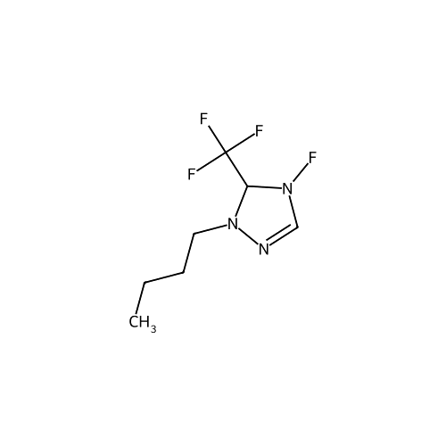 CCCCN1N=CN(F)C1C(F)(F)F